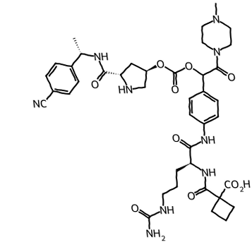 C[C@H](NC(=O)[C@@H]1C[C@@H](OC(=O)OC(C(=O)N2CCN(C)CC2)c2ccc(NC(=O)[C@H](CCCNC(N)=O)NC(=O)C3(C(=O)O)CCC3)cc2)CN1)c1ccc(C#N)cc1